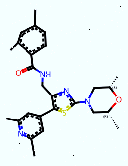 Cc1ccc(C(=O)NCc2nc(N3C[C@@H](C)O[C@@H](C)C3)sc2-c2cc(C)nc(C)c2)c(C)c1